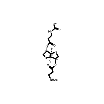 CC(=O)NCCC(=O)O[C@@H]1CO[C@H]2[C@@H]1OC[C@@H]2OC(=O)CCNC(=O)C(C)C